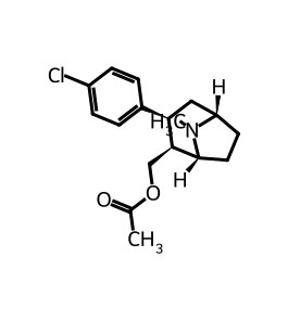 CC(=O)OC[C@H]1[C@@H](c2ccc(Cl)cc2)C[C@@H]2CC[C@H]1N2C